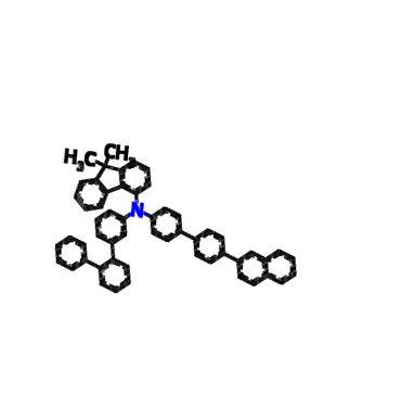 CC1(C)c2ccccc2-c2c(N(c3ccc(-c4ccc(-c5ccc6ccccc6c5)cc4)cc3)c3cccc(-c4ccccc4-c4ccccc4)c3)cccc21